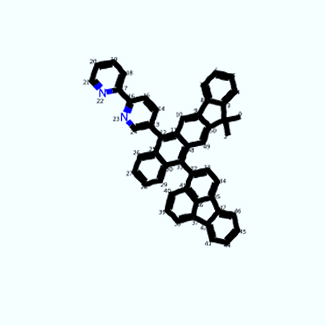 CC1(C)c2ccccc2-c2cc3c(-c4ccc(-c5ccccn5)nc4)c4ccccc4c(-c4ccc5c6c(cccc46)-c4ccccc4-5)c3cc21